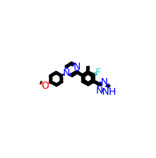 CO[C@H]1CC[C@@H](N2C=C(c3ccc(-c4nc[nH]n4)c(F)c3C)N=CC2)CC1